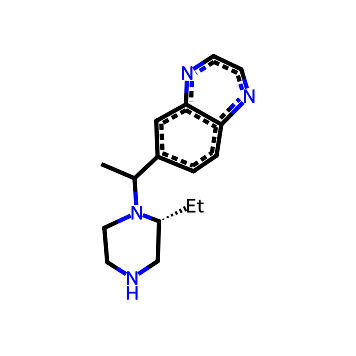 CC[C@@H]1CNCCN1C(C)c1ccc2nccnc2c1